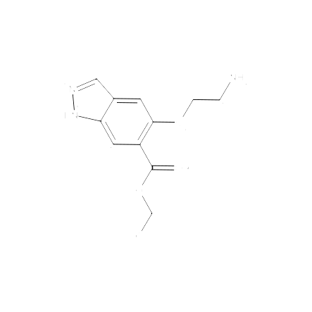 CCOC(=O)c1cc2[nH]ncc2cc1OCCN